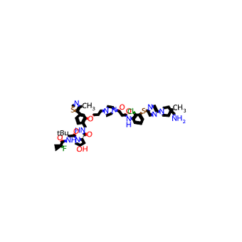 Cc1ncsc1-c1ccc(CNC(=O)[C@@H]2C[C@@H](O)CN2C(=O)[C@@H](NC(=O)C2(F)CC2)C(C)(C)C)c(OCCCN2CCN(C(=O)CC(=O)Nc3cccc(Sc4cnc(N5CCC(C)(CN)CC5)cn4)c3Cl)CC2)c1